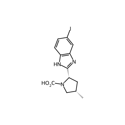 C[C@H]1C[C@@H](c2nc3cc(I)ccc3[nH]2)N(C(=O)O)C1